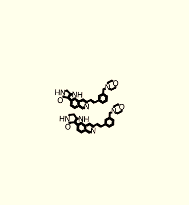 O=C1NCCc2[nH]c3c(ccc4cnc(/C=C/c5cccc(CN6CCOCC6)c5)cc43)c21.O=C1NCc2[nH]c3c(ccc4cnc(/C=C/c5cccc(CN6CCOCC6)c5)cc43)c21